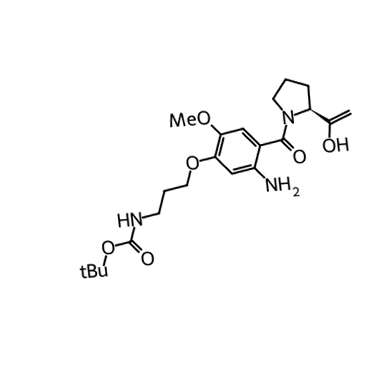 C=C(O)[C@@H]1CCCN1C(=O)c1cc(OC)c(OCCCNC(=O)OC(C)(C)C)cc1N